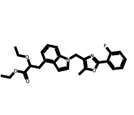 CCOC(=O)C(Cc1cccc2c1ccn2Cc1nc(-c2ccccc2F)oc1C)OCC